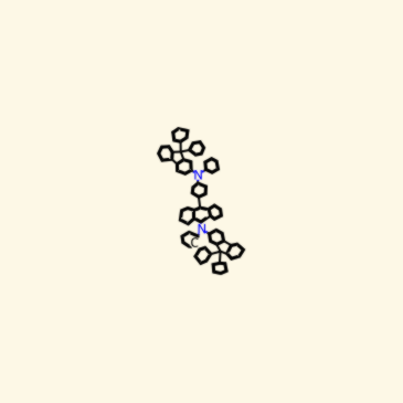 c1ccc(N(c2ccc(-c3c4ccccc4c(N(c4ccccc4)c4ccc5c(c4)C(c4ccccc4)(c4ccccc4)c4ccccc4-5)c4ccccc34)cc2)c2ccc3c(c2)C(c2ccccc2)(c2ccccc2)c2ccccc2-3)cc1